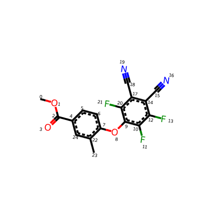 COC(=O)c1ccc(Oc2c(F)c(F)c(C#N)c(C#N)c2F)c(C)c1